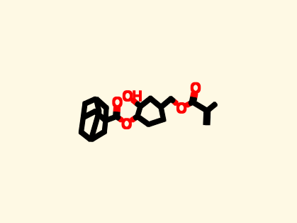 C=C(C)C(=O)OCC1CCC(OC(=O)C23CC4CC(CC(C4)C2)C3)C(O)C1